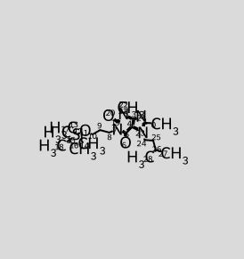 Cc1nc2c(c(=O)n(CCCO[Si](C)(C)C(C)(C)C)c(=O)n2C)n1CCC(C)C